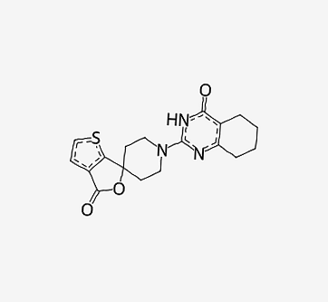 O=C1OC2(CCN(c3nc4c(c(=O)[nH]3)CCCC4)CC2)c2sccc21